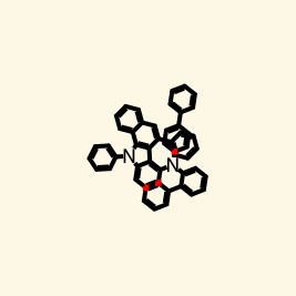 c1ccc(-c2ccc(N(c3ccccc3-c3ccccc3)c3cccc4c3c3c(-c5ccccc5)cc5ccccc5c3n4-c3ccccc3)cc2)cc1